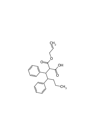 C=CCOC(=O)C(C(=O)O)C(c1ccccc1)C(CCC)c1ccccc1